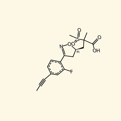 CC#Cc1ccc(C2=NO[C@@H](CC(C)(C(=O)O)S(C)(=O)=O)C2)c(F)c1